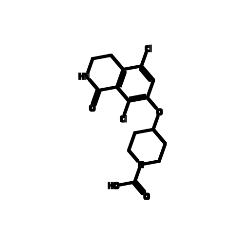 O=C1NCCc2c(Cl)cc(OC3CCN(C(=O)O)CC3)c(Cl)c21